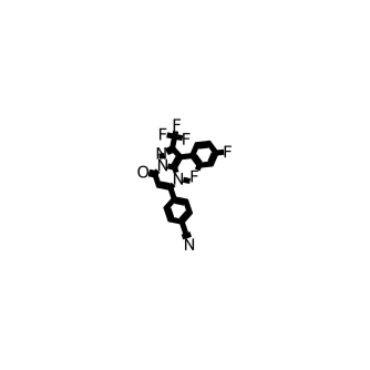 Cn1c(-c2ccc(C#N)cc2)cc(=O)n2nc(C(F)(F)F)c(-c3ccc(F)cc3F)c12